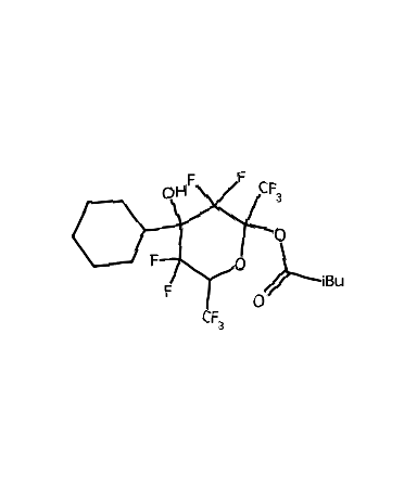 CCC(C)C(=O)OC1(C(F)(F)F)OC(C(F)(F)F)C(F)(F)C(O)(C2CCCCC2)C1(F)F